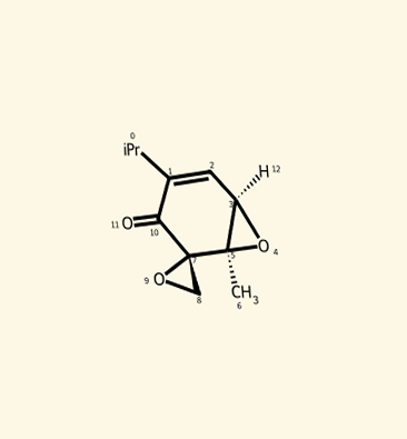 CC(C)C1=C[C@H]2O[C@@]2(C)[C@@]2(CO2)C1=O